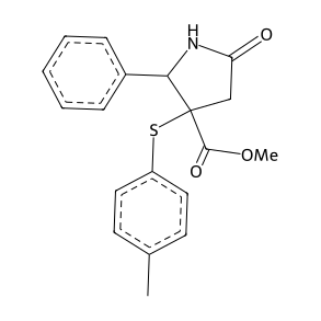 COC(=O)C1(Sc2ccc(C)cc2)CC(=O)NC1c1ccccc1